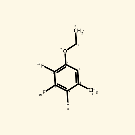 [CH2]COc1cc(C)c(F)c(F)c1F